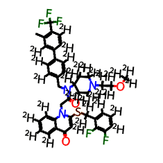 [2H]c1c([2H])c(F)c(F)c(C([2H])([2H])Sc2c([2H])c(=O)c3c([2H])c([2H])c([2H])c([2H])c3n2CC(=O)N(Cc2c([2H])c([2H])c(-c3c([2H])c([2H])c(C(F)(F)F)c(C)c3[2H])c([2H])c2[2H])C2([2H])C([2H])([2H])C([2H])([2H])N(C([2H])([2H])C([2H])([2H])OC([2H])([2H])[2H])C([2H])([2H])C2([2H])[2H])c1[2H]